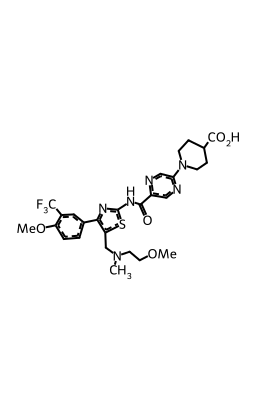 COCCN(C)Cc1sc(NC(=O)c2cnc(N3CCC(C(=O)O)CC3)cn2)nc1-c1ccc(OC)c(C(F)(F)F)c1